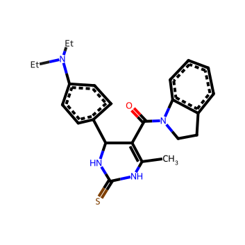 CCN(CC)c1ccc(C2NC(=S)NC(C)=C2C(=O)N2CCc3ccccc32)cc1